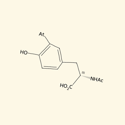 CC(=O)N[C@@H](Cc1ccc(O)c([At])c1)C(=O)O